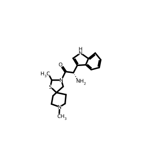 CC1SC2(CCN(C)CC2)CN1C(=O)[C@@H](N)c1c[nH]c2ccccc12